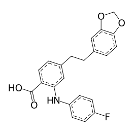 O=C(O)c1ccc(CCc2ccc3c(c2)OCO3)cc1Nc1ccc(F)cc1